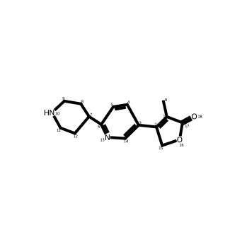 CC1=C(c2ccc(C3CCNCC3)nc2)COC1=O